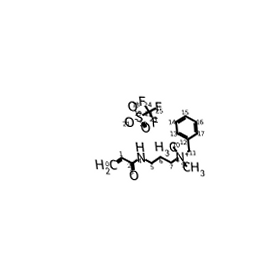 C=CC(=O)NCCC[N+](C)(C)Cc1ccccc1.O=S(=O)([O-])C(F)(F)F